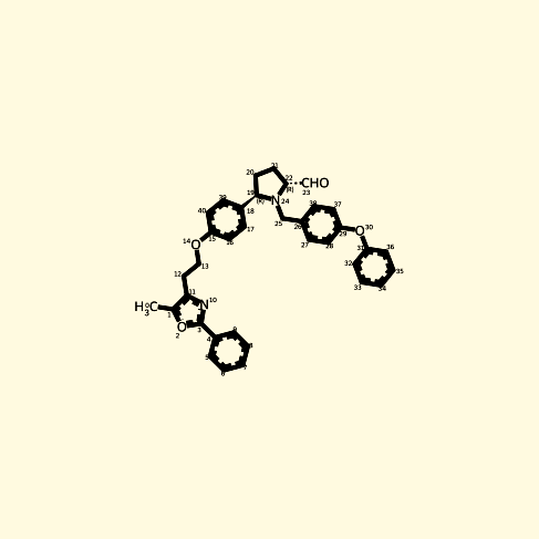 Cc1oc(-c2ccccc2)nc1CCOc1ccc([C@H]2CC[C@H](C=O)N2Cc2ccc(Oc3ccccc3)cc2)cc1